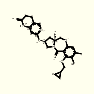 Cc1cc2c(c(OCC3CC3)c1F)C(=O)N1C[C@@H](Oc3cc4c(cn3)CCC(=O)N4)C[C@@H]1CO2